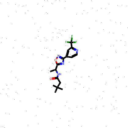 CC(NC(=O)CC(C)(C)C)c1nc(-c2ccnc(C(F)(F)F)c2)no1